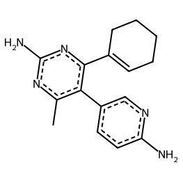 Cc1nc(N)nc(C2=CCCCC2)c1-c1ccc(N)nc1